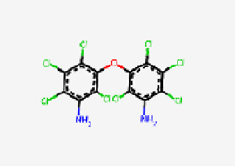 Nc1c(Cl)c(Cl)c(Cl)c(Oc2c(Cl)c(N)c(Cl)c(Cl)c2Cl)c1Cl